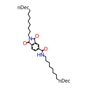 CCCCCCCCCCCCCCCCCCNC(=O)c1ccc2c(c1)C(=O)N(CCCCCCCCCCCCCCCCCC)C2=O